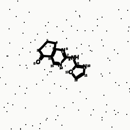 O=C1CCCc2nc(Nc3ncco3)ncc21